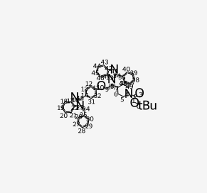 CC(C)(C)OC(=O)N1CCC([C@@H](COc2ccc(-c3nc4ccccc4n3Cc3ccccc3)cc2)n2c(-c3ccccc3)nc3ccccc32)CC1